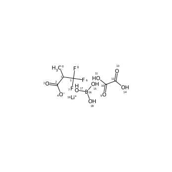 CC(C(=O)[O-])C(F)(F)F.O=C(O)C(=O)O.OB(O)O.[Li+]